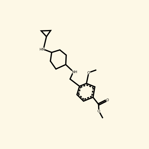 COC(=O)c1ccc(CNC2CCC(NC3CC3)CC2)c(OC)c1